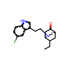 CCC1CC2CN(CCc3c[nH]c4ccc(F)cc34)C1CC2=O